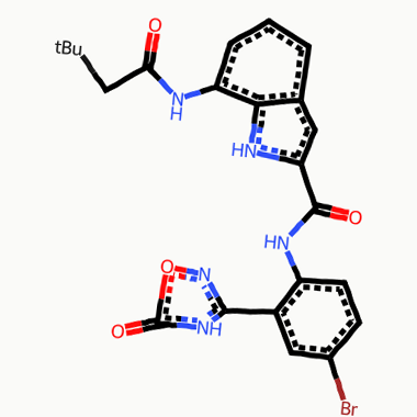 CC(C)(C)CC(=O)Nc1cccc2cc(C(=O)Nc3ccc(Br)cc3-c3noc(=O)[nH]3)[nH]c12